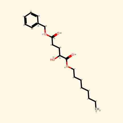 CCCCCCCCOC(=O)C(O)CCC(=O)OCc1ccccc1